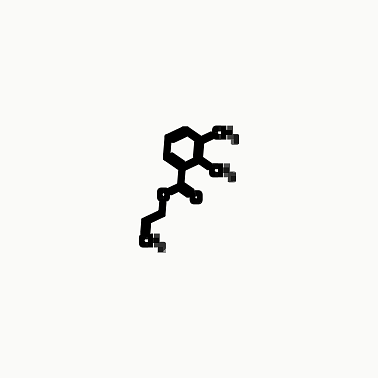 C=CCOC(=O)c1cccc(C)c1C